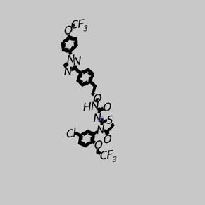 O=C(/N=C1\SCC(=O)N1c1cc(Cl)ccc1OCC(F)(F)F)NOCCc1ccc(-c2ncn(-c3ccc(OC(F)(F)F)cc3)n2)cc1